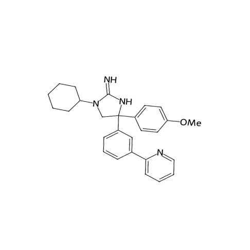 COc1ccc(C2(c3cccc(-c4ccccn4)c3)CN(C3CCCCC3)C(=N)N2)cc1